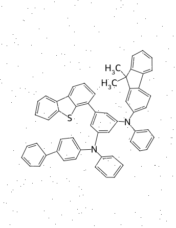 CC1(C)c2ccccc2-c2ccc(N(c3ccccc3)c3cc(-c4cccc5c4sc4ccccc45)cc(N(c4ccccc4)c4ccc(-c5ccccc5)cc4)c3)cc21